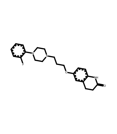 O=C1CCc2cc(OCCCN3CCN(c4ccccc4F)CC3)ccc2N1